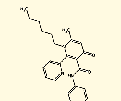 CCCCCCn1c(C)cc(=O)c(C(=O)Nc2ccccc2)c1-c1ccccn1